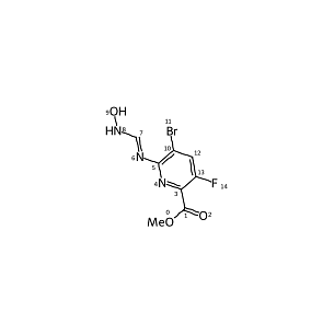 COC(=O)c1nc(N=CNO)c(Br)cc1F